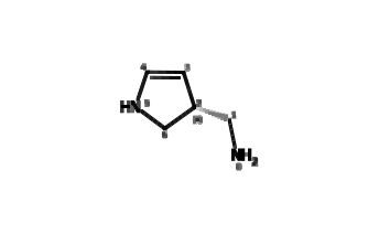 NC[C@H]1C=CNC1